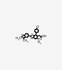 Cc1cc2nc(-c3ccc4nn(C)c(C)c4c3)sc2c(-c2ccc(Cl)cc2)c1CC(=O)O